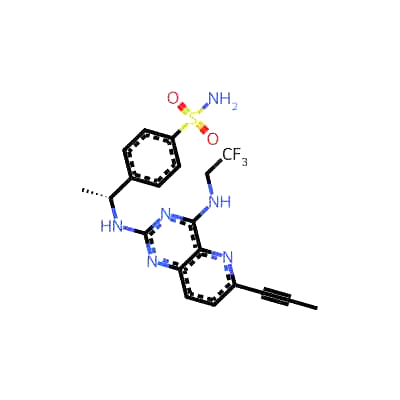 CC#Cc1ccc2nc(N[C@H](C)c3ccc(S(N)(=O)=O)cc3)nc(NCC(F)(F)F)c2n1